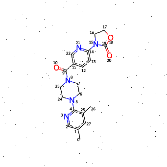 Cc1cnc(N2CCN(C(=O)c3ccc(N4CCOC4=O)nc3)CC2)c(C)c1